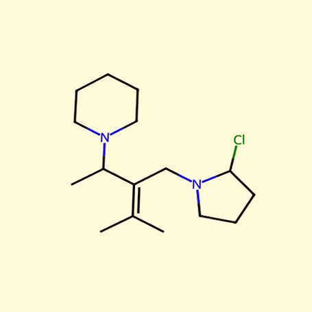 CC(C)=C(CN1CCCC1Cl)C(C)N1CCCCC1